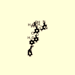 Cc1c(COc2cc(OCc3cncc(C#N)c3)c(CNC(C)(C)CO)cc2Cl)cccc1-c1cccc(OCCCN2C3CCCC2CC3)c1